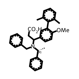 COc1ccc(C(CC(=O)O)N(Cc2ccccc2)[C@H](C)c2ccccc2)cc1-c1c(C)cccc1C